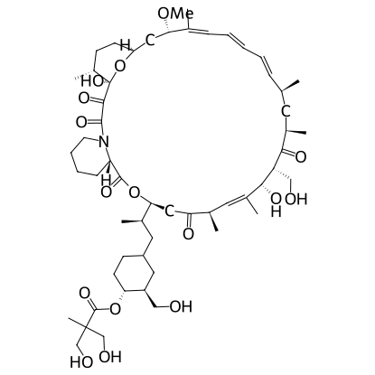 CO[C@H]1C[C@@H]2CC[C@@H](C)[C@@](O)(O2)C(=O)C(=O)N2CCCC[C@H]2C(=O)O[C@H]([C@H](C)CC2CC[C@@H](OC(=O)C(C)(CO)CO)[C@H](CO)C2)CC(=O)[C@H](C)/C=C(\C)[C@@H](O)[C@@H](CO)C(=O)[C@H](C)C[C@H](C)/C=C/C=C/C=C/1C